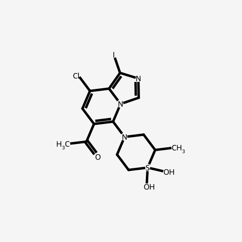 CC(=O)c1cc(Cl)c2c(I)ncn2c1N1CCS(O)(O)C(C)C1